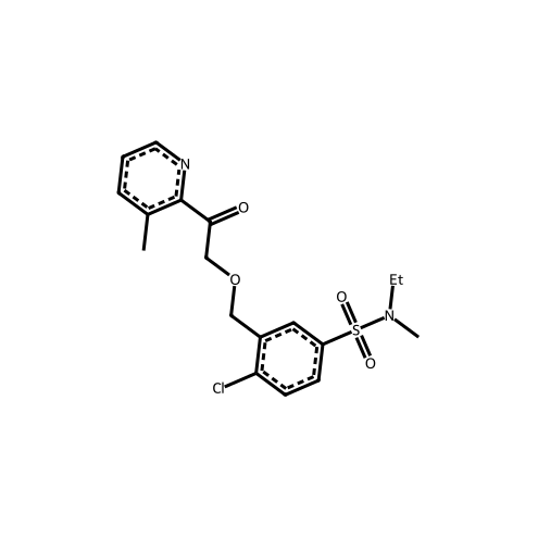 CCN(C)S(=O)(=O)c1ccc(Cl)c(COCC(=O)c2ncccc2C)c1